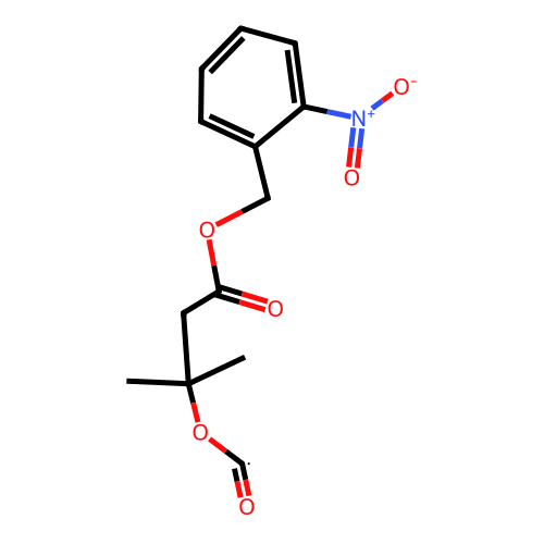 CC(C)(CC(=O)OCc1ccccc1[N+](=O)[O-])O[C]=O